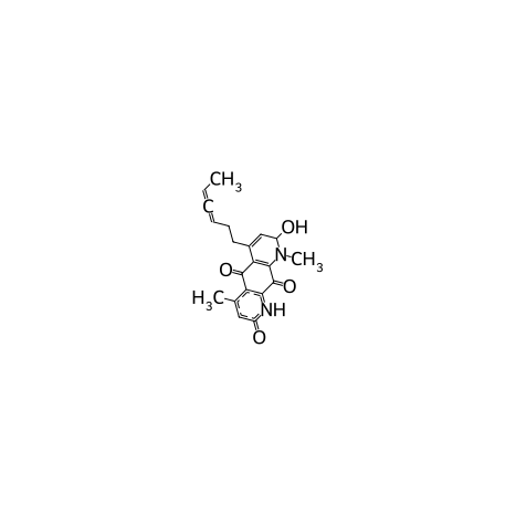 CC=C=CCCC1=CC(O)N(C)C2=C1C(=O)c1c(C)cc(=O)[nH]c1C2=O